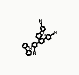 N#Cc1ccc(-c2ccc(-c3ccc(-n4c5ccccc5c5ccccc54)c(C#N)c3)cc2)c(-n2c3ccccc3c3cc(C#N)ccc32)c1